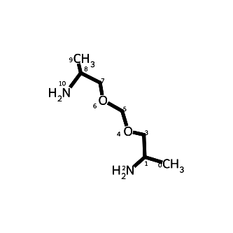 CC(N)COCOCC(C)N